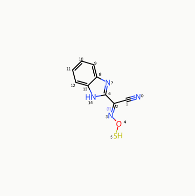 N#C/C(=N\OS)c1nc2ccccc2[nH]1